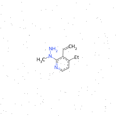 C=Cc1c(CC)ccnc1N(C)N